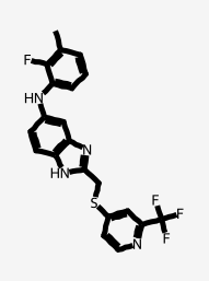 Cc1cccc(Nc2ccc3[nH]c(CSc4ccnc(C(F)(F)F)c4)nc3c2)c1F